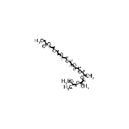 C=CC(=O)OCCOCCOCCOCCOCCOCC(C)OCC(C)OCC(C)OC